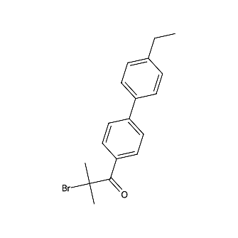 CCc1ccc(-c2ccc(C(=O)C(C)(C)Br)cc2)cc1